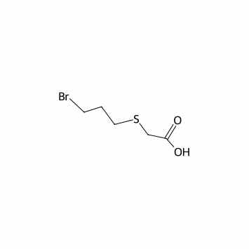 O=C(O)CSCCCBr